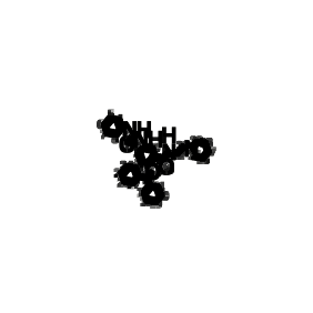 O=C(Nc1ccccc1)Nc1ccc(OC(c2ccccc2)c2ccccc2)c(C(=O)NCCN2CCCCC2)c1